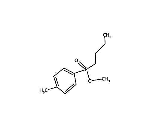 CCCCP(=O)(OC)c1ccc(C)cc1